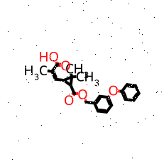 CC(=CC1C(C(=O)OCc2cccc(Oc3ccccc3)c2)C1(C)C)C(=O)O